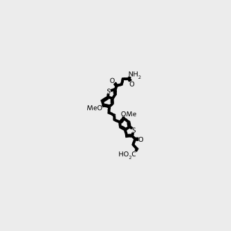 COc1cc2sc(C(=O)CCC(N)=O)cc2cc1CCCc1cc2cc(C(=O)CCC(=O)O)sc2cc1OC